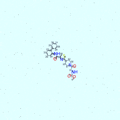 COC(=O)NCC(=O)N1CCC(c2nc(C(=O)Nc3ccccc3-c3ccccc3)cs2)CC1